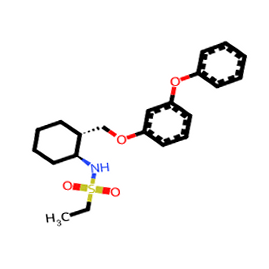 CCS(=O)(=O)N[C@H]1CCCC[C@@H]1COc1cccc(Oc2ccccc2)c1